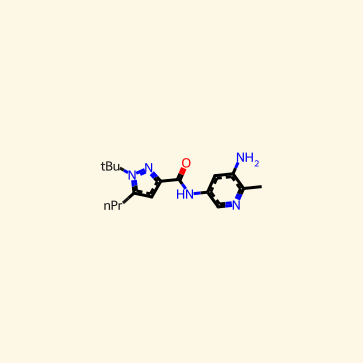 CCCc1cc(C(=O)Nc2cnc(C)c(N)c2)nn1C(C)(C)C